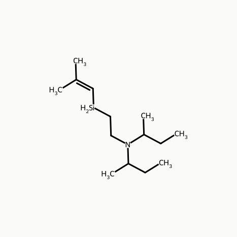 CCC(C)N(CC[SiH2]C=C(C)C)C(C)CC